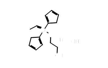 C[CH]=[Zr]([O]CCO)([C]1=CC=CC1)[C]1=CC=CC1.Cl.Cl